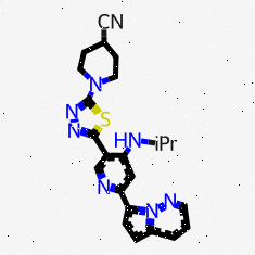 CC(C)Nc1cc(-c2ccc3cccnn23)ncc1-c1nnc(N2CCC(C#N)CC2)s1